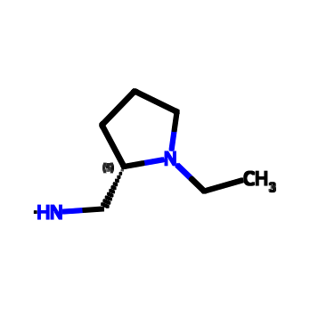 CCN1CCC[C@H]1C[NH]